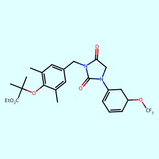 CCOC(=O)C(C)(C)Oc1c(C)cc(CN2C(=O)CN(C3=CC=CC(OC(F)(F)F)C3)C2=O)cc1C